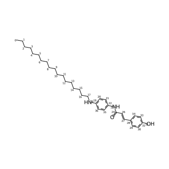 CCCCCCCCCCCCCCCCCCNc1ccc(NC(=O)/C=C/c2ccc(O)cc2)cc1